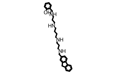 Oc1ccccc1CNCCCNCCCCNCCCNCc1ccc2c(c1)Cc1ccccc1-2